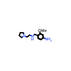 COc1cc(N)ccc1CNCCN1CCCC1